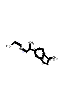 C=C(/C=N\C=C/C)c1ccc2c(c1)CCC2=C